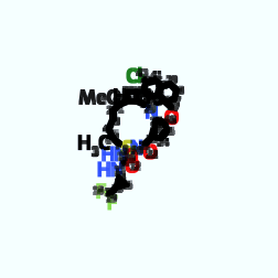 CO[C@H]1/C=C/C[C@H](C)CS(=O)(NC(=O)N[C@H]2CC2C(F)F)=NC(=O)c2ccc3c(c2)N(C[C@@H]2CC[C@H]21)C[C@@]1(CCCc2cc(Cl)ccc21)CO3